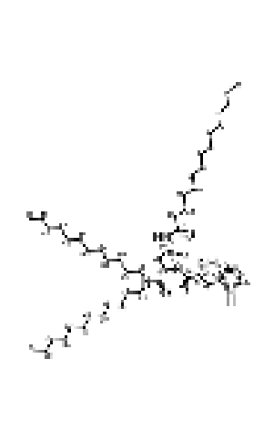 CCCCCCCCCCCCCCC(=O)N[C@H]1C[C@@H](C(=O)N(CCCCCCCCCCCC)CCCCCCCCCCCC)N(C(=O)[C@H](N)Cc2cnc[nH]2)C1